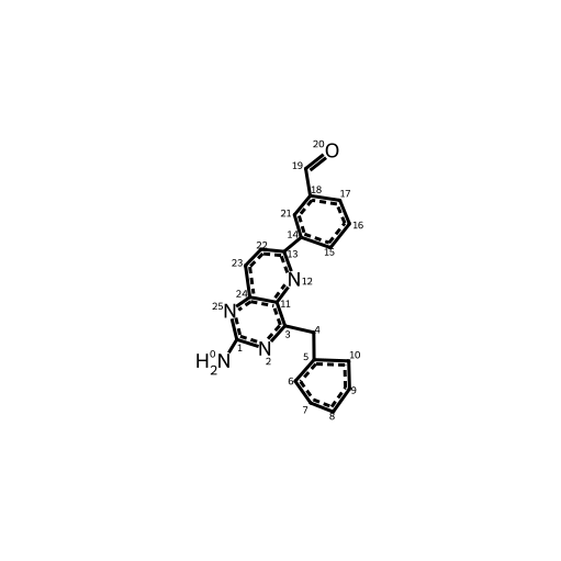 Nc1nc(Cc2ccccc2)c2nc(-c3cccc(C=O)c3)ccc2n1